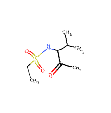 CCS(=O)(=O)NC(C(C)=O)C(C)C